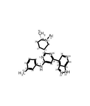 CC(=O)N1C[C@H](c2nc(Nc3cccc(C)c3)cc(-c3cncc4[nH]ncc34)n2)CC[C@@H]1C